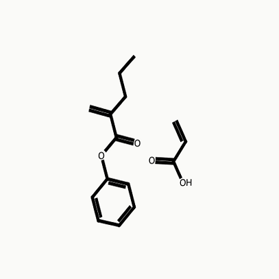 C=C(CCC)C(=O)Oc1ccccc1.C=CC(=O)O